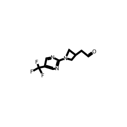 O=CCC1CN(c2ncc(C(F)(F)F)cn2)C1